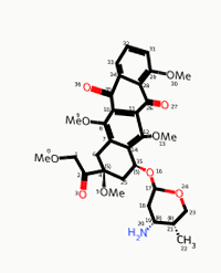 COCC(=O)[C@]1(OC)Cc2c(OC)c3c(c(OC)c2[C@@H](OC2C[C@@H](N)[C@@H](C)CO2)C1)C(=O)c1c(OC)cccc1C3=O